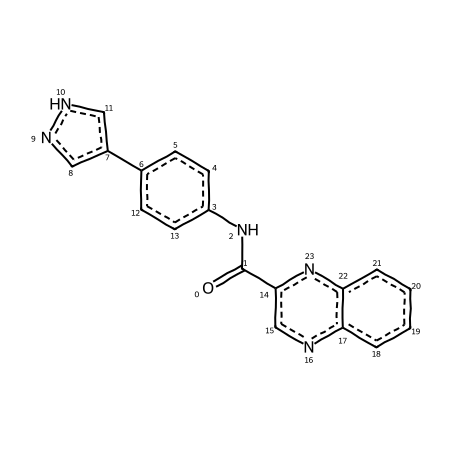 O=C(Nc1ccc(-c2cn[nH]c2)cc1)c1cnc2ccccc2n1